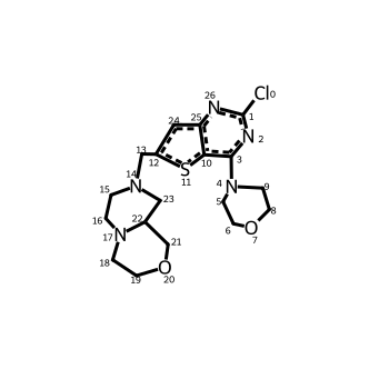 Clc1nc(N2CCOCC2)c2sc(CN3CCN4CCOCC4C3)cc2n1